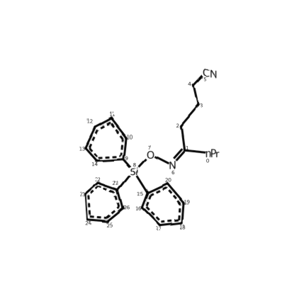 CCCC(CCCC#N)=NO[Si](c1ccccc1)(c1ccccc1)c1ccccc1